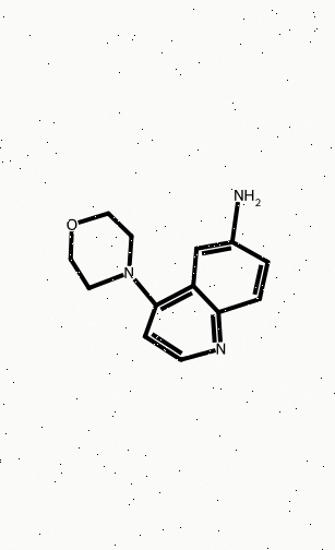 Nc1ccc2nccc(N3CCOCC3)c2c1